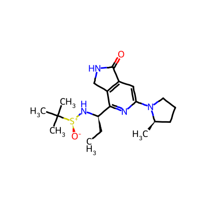 CC[C@@H](N[S@@+]([O-])C(C)(C)C)c1nc(N2CCC[C@H]2C)cc2c1CNC2=O